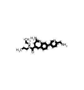 CCCN(OCC)C(=O)C1=Cc2ccc(-c3ccc(CN)nc3)cc2N=C(N)C1